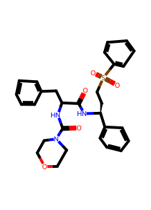 O=C(N[C@@H](CCS(=O)(=O)c1ccccc1)c1ccccc1)C(Cc1ccccc1)NC(=O)N1CCOCC1